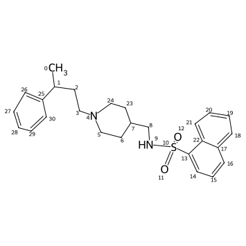 CC(CCN1CCC(CNS(=O)(=O)c2cccc3ccccc23)CC1)c1ccccc1